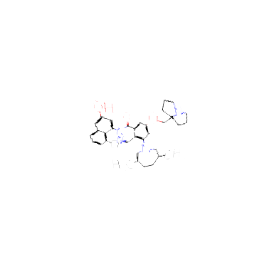 CCc1cccc2cc(O)cc(-n3ncc4c(N5CC(C)CCC(C)C5)cc(OCC56CCCN5CCC6)cc4c3=O)c12